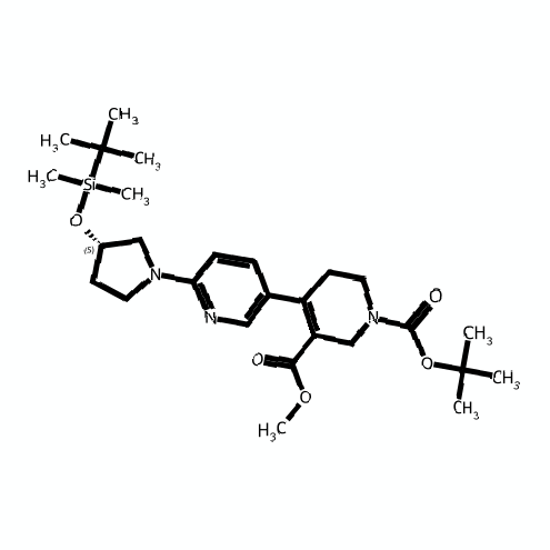 COC(=O)C1=C(c2ccc(N3CC[C@H](O[Si](C)(C)C(C)(C)C)C3)nc2)CCN(C(=O)OC(C)(C)C)C1